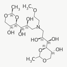 COCCN(C[C@H](O)[C@@H](O)[C@@H]1OC(C)OC[C@H]1O)C[C@H](O)[C@@H](O)[C@@H]1O[C@H](C)OC[C@H]1O